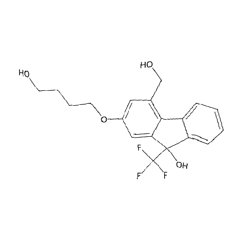 OCCCCOc1cc(CO)c2c(c1)C(O)(C(F)(F)F)c1ccccc1-2